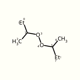 C[C]C(C)OOC(C)[C]C